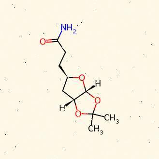 CC1(C)O[C@H]2O[C@H](CCC(N)=O)C[C@H]2O1